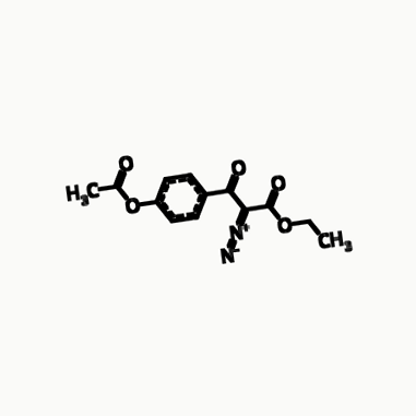 CCOC(=O)C(=[N+]=[N-])C(=O)c1ccc(OC(C)=O)cc1